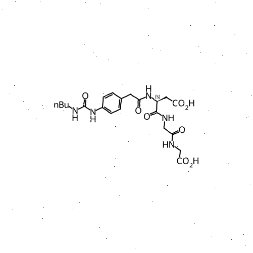 CCCCNC(=O)Nc1ccc(CC(=O)N[C@@H](CC(=O)O)C(=O)NCC(=O)NCC(=O)O)cc1